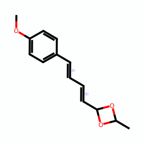 COc1ccc(/C=C/C=C/C2OC(C)O2)cc1